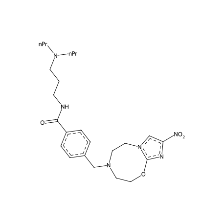 CCCN(CCC)CCCNC(=O)c1ccc(CN2CCOc3nc([N+](=O)[O-])cn3CC2)cc1